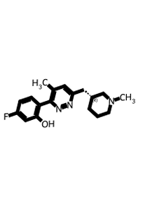 Cc1cc(C[C@H]2CCCN(C)C2)nnc1-c1ccc(F)cc1O